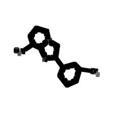 O=[N+]([O-])c1cccn2cc(-c3cccc(C(F)(F)F)c3)nc12